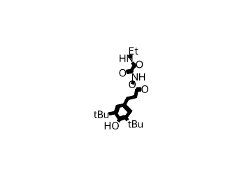 CCNC(=O)C(=O)NOC(=O)CCc1cc(C(C)(C)C)c(O)c(C(C)(C)C)c1